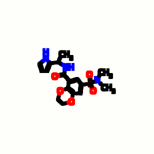 CC(NC(=O)c1cc(S(=O)(=O)N(C)C)cc2c1OCCO2)c1ccc[nH]1